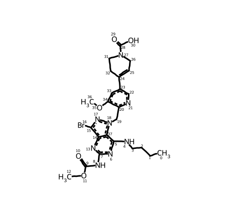 CCCCNc1nc(NC(=O)OC)nc2c(Br)nn(Cc3ncc(C4=CCN(C(=O)O)CC4)cc3OC)c12